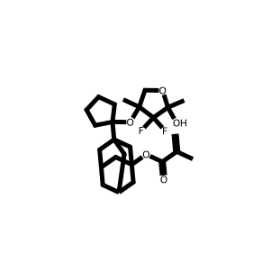 C=C(C)C(=O)OC12CC3CC(C1)CC(C1(OC4(C)COC(C)(O)C4(F)F)CCCC1)(C3)C2